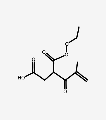 C=C(C)C(=O)C(CC(=O)O)C(=O)OOCC